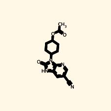 CC(=O)OC1CCC(n2c(=O)[nH]c3cc(C#N)cnc32)CC1